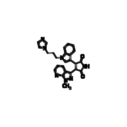 Cn1nc(C2=C(c3cn(CCCn4ccnc4)c4ccccc34)C(=O)NC2=O)c2cccnc21